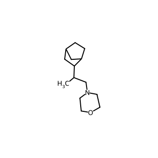 CC(CN1CCOCC1)C1CC2CCC1C2